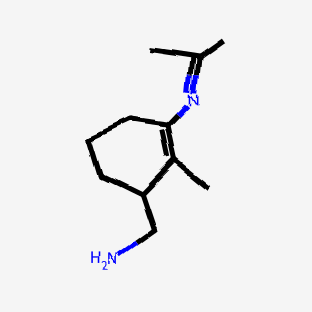 CC(C)=NC1=C(C)C(CN)CCC1